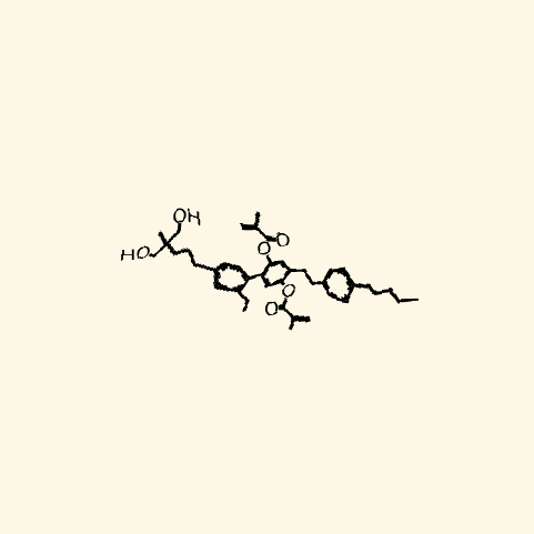 C=C(C)C(=O)Oc1cc(-c2ccc(CCCC(C)(CO)CO)cc2CC)c(OC(=O)C(=C)C)cc1CCc1ccc(CCCCC)cc1